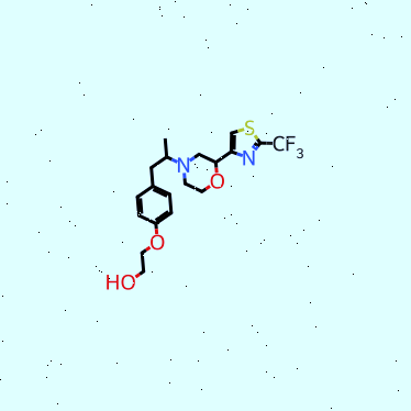 CC(Cc1ccc(OCCO)cc1)N1CCOC(c2csc(C(F)(F)F)n2)C1